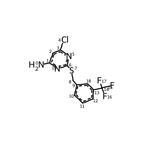 Nc1cc(Cl)nc(SCc2cccc(C(F)(F)F)c2)n1